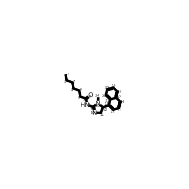 CCCCCCC(=O)NC1=NCC(c2cccc3ccccc23)N1C